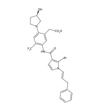 CC(C)c1c(C(=O)Nc2cc(CC(=O)O)c(N3CC[C@@H](O)C3)cc2C(F)(F)F)ccn1/C=C/Cc1ccccc1